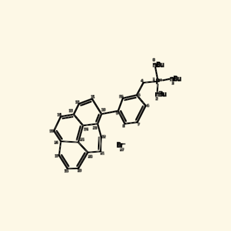 CCCC[P+](CCCC)(CCCC)Cc1cccc(-c2ccc3ccc4cccc5ccc2c3c45)c1.[Br-]